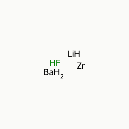 F.[BaH2].[LiH].[Zr]